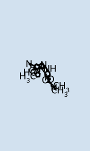 CN(C)CCCS(=O)(=O)N1CCC(Nc2ncc3cc(C#N)c(=O)n([C@@H]4CCC[C@@]4(C)O)c3n2)CC1